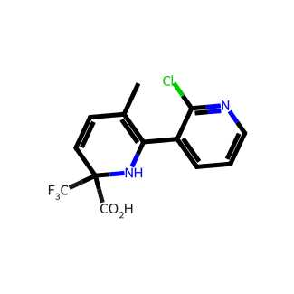 CC1=C(c2cccnc2Cl)NC(C(=O)O)(C(F)(F)F)C=C1